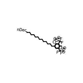 CCCCCCCCCCCCCCCCCCCCCCCc1cc(C(F)(F)S(=O)(=O)Cl)c(C)c(C(F)(F)S(=O)(=O)Cl)c1